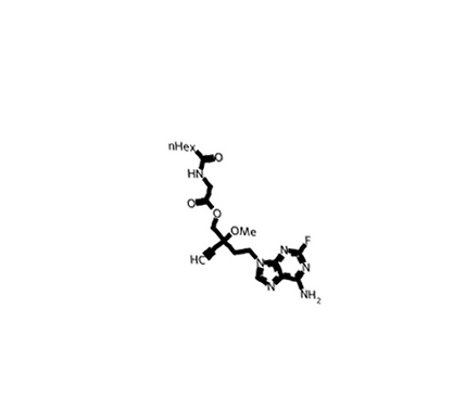 C#CC(CCn1cnc2c(N)nc(F)nc21)(COC(=O)CNC(=O)CCCCCC)OC